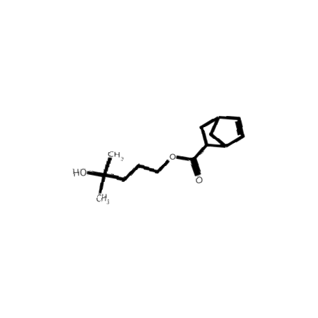 CC(C)(O)CCCOC(=O)C1CC2C=CC1C2